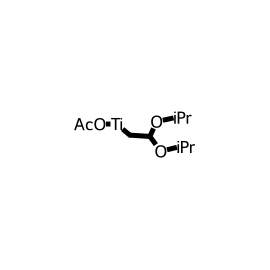 CC(=O)[O][Ti][CH2]C(OC(C)C)OC(C)C